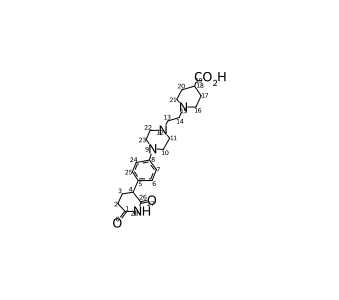 O=C1CCC(c2ccc(N3CCN(CCN4CCC(C(=O)O)CC4)CC3)cc2)C(=O)N1